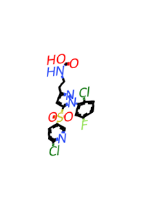 O=C(O)NCCc1cc(S(=O)(=O)c2ccc(Cl)nc2)n(-c2cc(F)ccc2Cl)n1